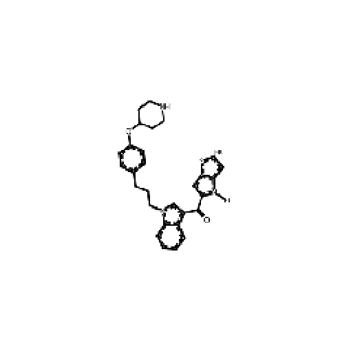 CCn1c(C(=O)c2cn(CCCc3ccc(OC4CCNCC4)cc3)c3ccccc23)cc2sccc21.Cl